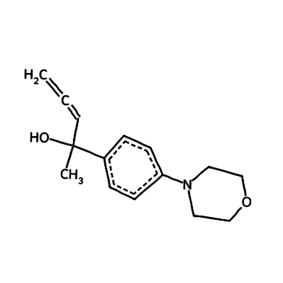 C=C=CC(C)(O)c1ccc(N2CCOCC2)cc1